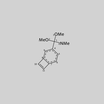 CNC(OC)(OC)c1ccc2c(c1)C=C2